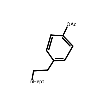 CCCCCCCCCc1ccc(OC(C)=O)cc1